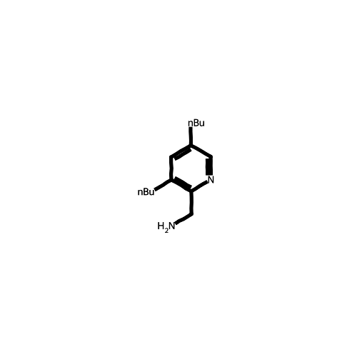 CCCCc1cnc(CN)c(CCCC)c1